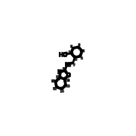 Oc1ccccc1C=Nc1nc2ccccc2o1